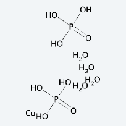 O.O.O.O.O=P(O)(O)O.O=P(O)(O)O.[Cu]